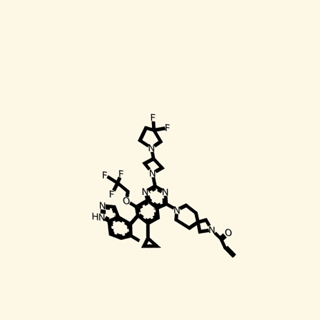 C=CC(=O)N1CC2(CCN(c3nc(N4CC(N5CCC(F)(F)C5)C4)nc4c(OCC(F)(F)F)c(-c5c(C)ccc6[nH]ncc56)c(C5CC5)cc34)CC2)C1